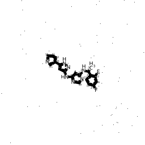 CC(Nc1cc(Nc2cc(-c3cccnc3)[nH]n2)ncn1)c1ccc(F)cc1F